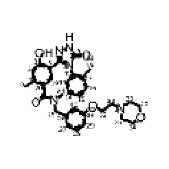 Cc1cc(O)c(-c2n[nH]c(=O)n2-c2ccccc2C)cc1C(=O)N(C)Cc1cccc(OCCN2CCOCC2)c1